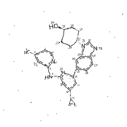 N#Cc1ccnc(Nc2cc(C3CC3)cc(-c3ccc4ncn([C@H]5CC[C@H](O)CC5)c4c3)n2)c1